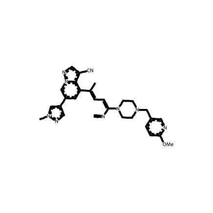 C=N/C(=C\C=C(/C)c1cc(-c2cnn(C)c2)cn2ncc(C#N)c12)N1CCN(Cc2ccc(OC)nc2)CC1